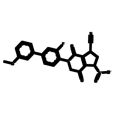 COc1cccc(-c2ccc(N3CC(=O)C4=C(C3=O)C(C#N)CC4[N+](=O)[O-])c(F)c2)c1